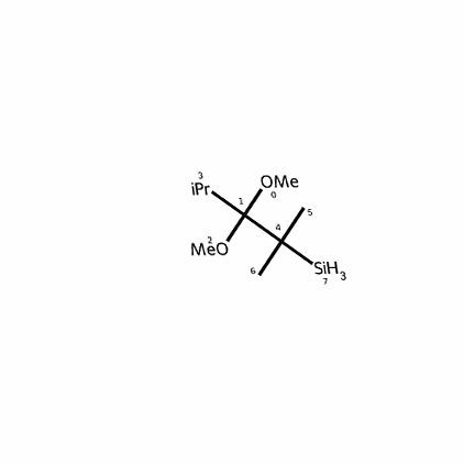 COC(OC)(C(C)C)C(C)(C)[SiH3]